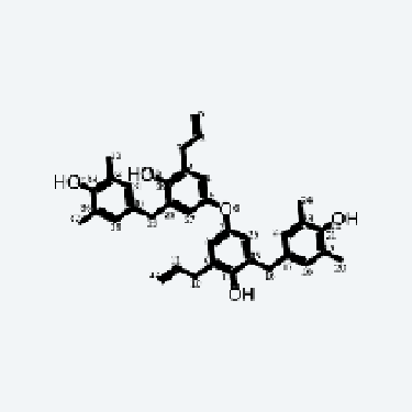 C=CCc1cc(Oc2cc(CC=C)c(O)c(Cc3cc(C)c(O)c(C)c3)c2)cc(Cc2cc(C)c(O)c(C)c2)c1O